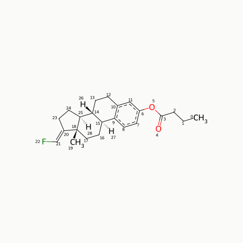 CCCC(=O)Oc1ccc2c(c1)CC[C@@H]1[C@@H]2CC[C@]2(C)C(=CF)CC[C@@H]12